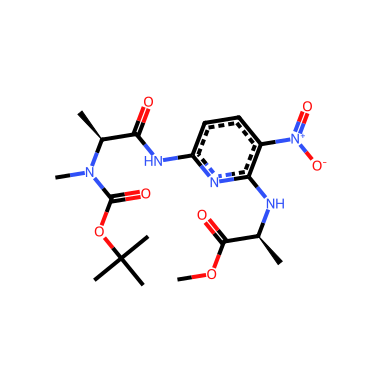 COC(=O)[C@H](C)Nc1nc(NC(=O)[C@H](C)N(C)C(=O)OC(C)(C)C)ccc1[N+](=O)[O-]